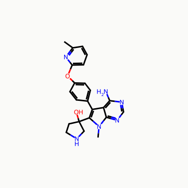 Cc1cccc(Oc2ccc(-c3c(C4(O)CCNC4)n(C)c4ncnc(N)c34)cc2)n1